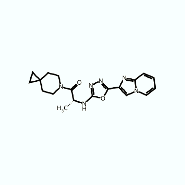 C[C@@H](Nc1nnc(-c2cn3ccccc3n2)o1)C(=O)N1CCC2(CC1)CC2